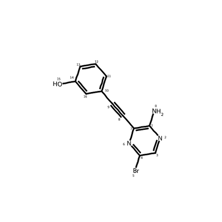 Nc1ncc(Br)nc1C#Cc1cccc(O)c1